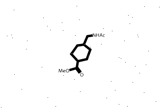 COC(=O)C1CCC(CNC(C)=O)CC1